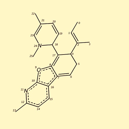 CC=C(C)C1CC=c2c(oc3nc(C)ccc23)=C1C1C=CC(C)=CN1C